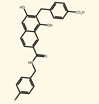 O=C(O)c1ccc(Cc2c(O)cc3ccc(C(=O)NCc4ccc(I)cc4)cc3c2O)cc1